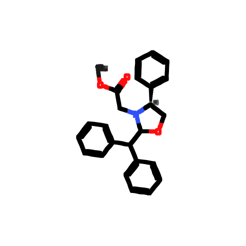 CC(C)(C)OC(=O)CN1C(C(c2ccccc2)c2ccccc2)OC[C@H]1c1ccccc1